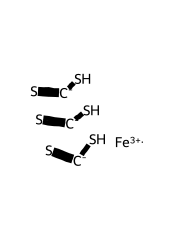 S=[C-]S.S=[C-]S.S=[C-]S.[Fe+3]